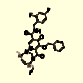 C[C@H]1C=C[C@@H](CF)N2CN1n1cc(C(=O)NCc3ccc(F)cc3F)c(=O)c(OCc3ccccc3)c1C2=O